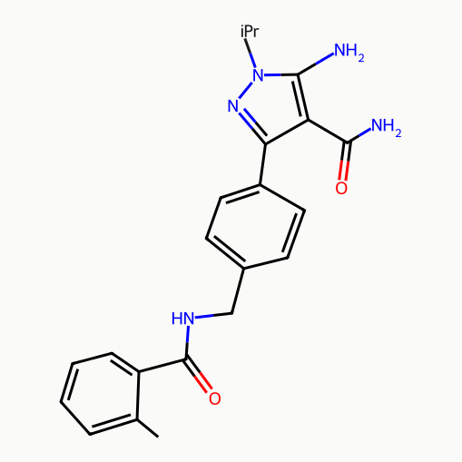 Cc1ccccc1C(=O)NCc1ccc(-c2nn(C(C)C)c(N)c2C(N)=O)cc1